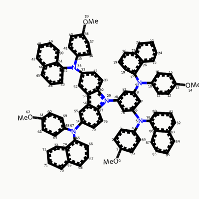 COc1ccc(N(c2cc(N(c3ccc(OC)cc3)c3cccc4ccccc34)cc(-n3c4ccc(N(c5ccc(OC)cc5)c5cccc6ccccc56)cc4c4cc(N(c5ccc(OC)cc5)c5cccc6ccccc56)ccc43)c2)c2cccc3ccccc23)cc1